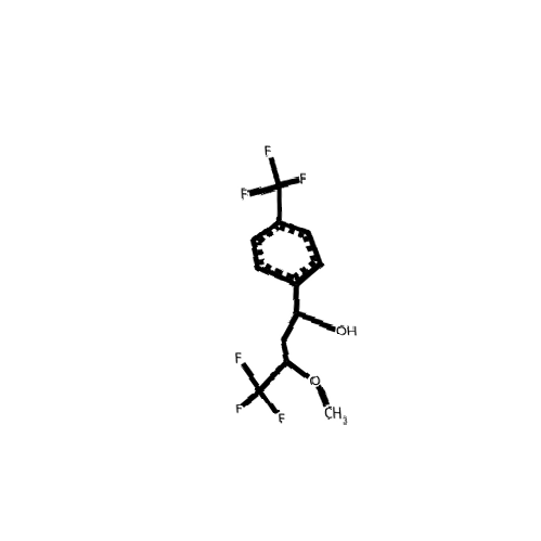 COC(CC(O)c1ccc(C(F)(F)F)cc1)C(F)(F)F